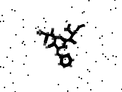 CCCC(NC)C(=O)C(=O)NC(Cc1ccccc1)C(=O)NC(C)C(N)=O